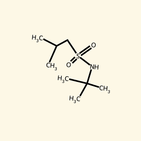 CC(C)CS(=O)(=O)NC(C)(C)C